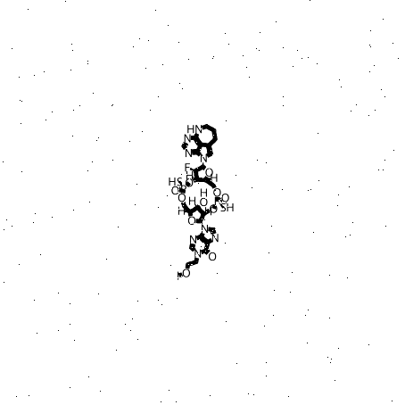 O=c1c2ncn([C@@H]3O[C@@H]4CO[P@@](=O)(S)O[C@H]5[C@@H](F)[C@H](n6cc7c8c(ncnc86)NCCC7)O[C@@H]5CO[P@@](=O)(S)O[C@@H]3[C@@H]4O)c2ncn1CCOI